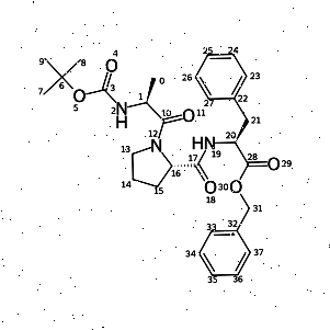 C[C@H](NC(=O)OC(C)(C)C)C(=O)N1CCC[C@H]1C(=O)N[C@@H](Cc1ccccc1)C(=O)OCc1ccccc1